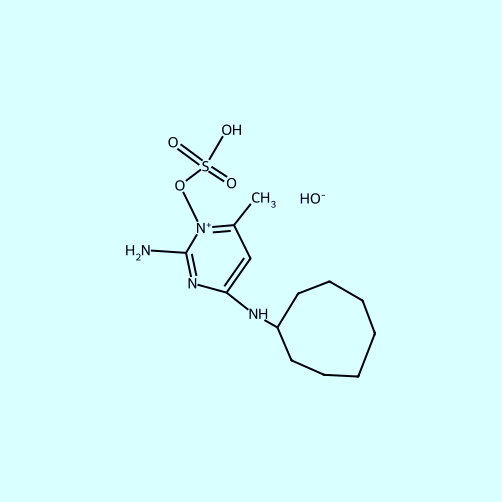 Cc1cc(NC2CCCCCCC2)nc(N)[n+]1OS(=O)(=O)O.[OH-]